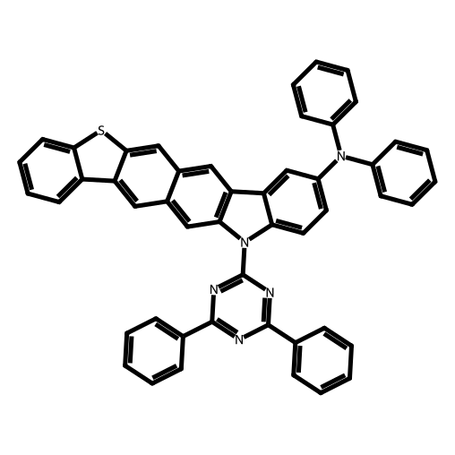 c1ccc(-c2nc(-c3ccccc3)nc(-n3c4ccc(N(c5ccccc5)c5ccccc5)cc4c4cc5cc6sc7ccccc7c6cc5cc43)n2)cc1